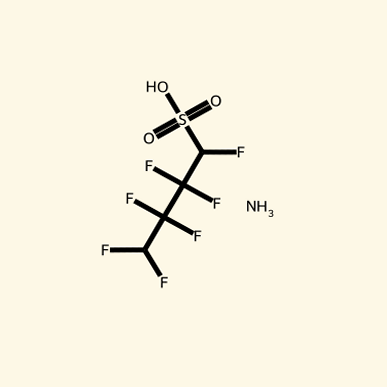 N.O=S(=O)(O)C(F)C(F)(F)C(F)(F)C(F)F